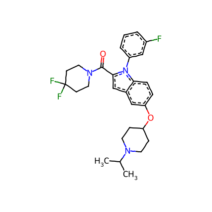 CC(C)N1CCC(Oc2ccc3c(c2)cc(C(=O)N2CCC(F)(F)CC2)n3-c2cccc(F)c2)CC1